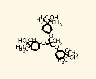 CC(COC1=CC=CC(C)(C(C)(C)O)C=C1)(COC1=CC=CC(C)(C(C)(C)O)C=C1)COC1=CC(C)(C(C)(C)O)C=CC=C1